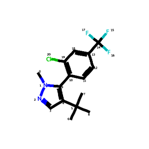 Cn1ncc(C(C)(C)C)c1-c1ccc(C(F)(F)F)cc1Cl